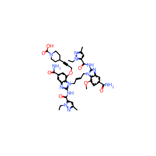 CCn1nc(C)cc1C(=O)Nc1nc2cc(C(N)=O)cc(OC)c2n1CC=CCn1c(NC(=O)c2cc(C)nn2CC)nc2cc(C(N)=O)cc(OCC#CC3CCN(C(=O)O)CC3)c21